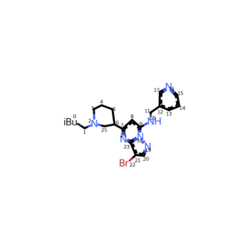 CCC(C)CN1CCCC(c2cc(NCc3cccnc3)n3ncc(Br)c3n2)C1